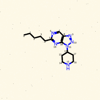 CCCCCc1ncc2nnn(C3CCNCC3)c2n1